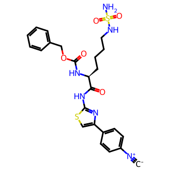 [C-]#[N+]c1ccc(-c2csc(NC(=O)[C@H](CCCCNS(N)(=O)=O)NC(=O)OCc3ccccc3)n2)cc1